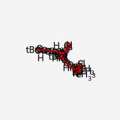 Cc1ncsc1-c1ccc(CNC(=O)[C@@H]2C[C@@H](OC(=O)COCCOCCOCCOCCNC(=O)OC(C)(C)C)CN2C(=O)[C@@H](NC(=O)COCCOCCOCCNC(=O)C[C@@H]2N=C(c3ccc(Cl)cc3)c3c(sc(C)c3C)-n3c(C)nnc32)C(C)(C)C)cc1